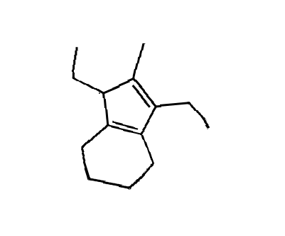 CC[C]1C(C)=C(CC)C2=C1CCCC2